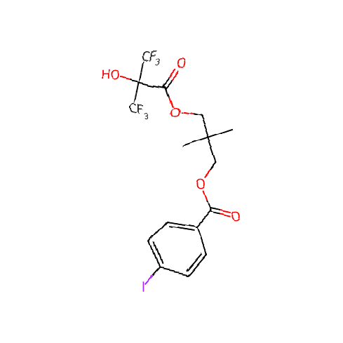 CC(C)(COC(=O)c1ccc(I)cc1)COC(=O)C(O)(C(F)(F)F)C(F)(F)F